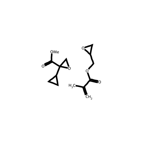 C=C(C)C(=O)OCC1CO1.COC(=O)C1(C2CC2)CO1